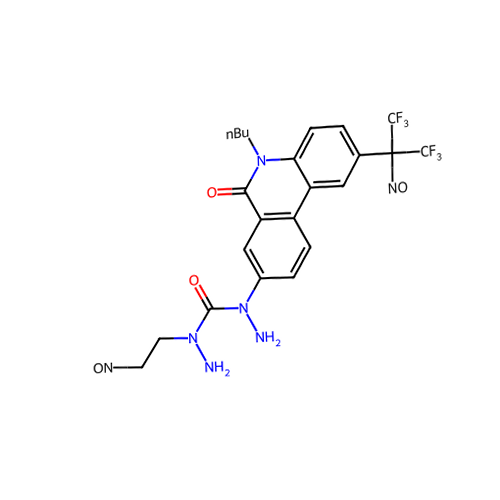 CCCCn1c(=O)c2cc(N(N)C(=O)N(N)CCN=O)ccc2c2cc(C(N=O)(C(F)(F)F)C(F)(F)F)ccc21